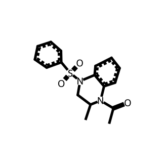 CC(=O)N1c2ccccc2N(S(=O)(=O)c2ccccc2)CC1C